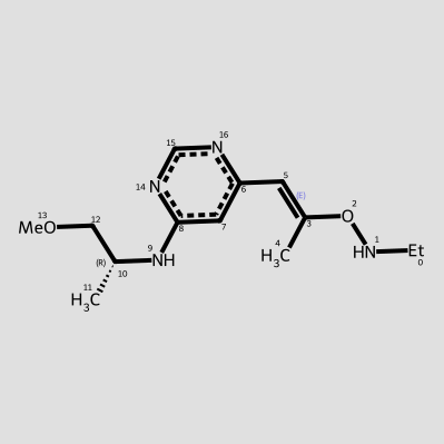 CCNO/C(C)=C/c1cc(N[C@H](C)COC)ncn1